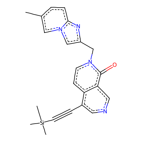 Cc1ccc2nc(Cn3ccc4c(C#C[Si](C)(C)C)cncc4c3=O)cn2c1